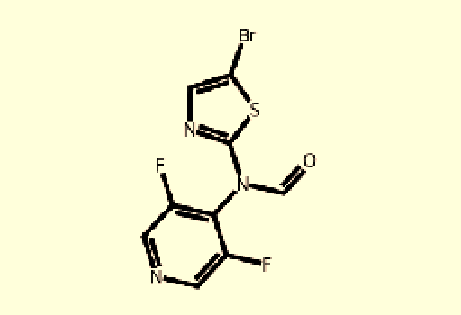 O=CN(c1ncc(Br)s1)c1c(F)cncc1F